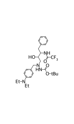 CCN(CC)c1ccc(CN(CC(O)C(Cc2ccccc2)NC(=O)C(F)(F)F)NC(=O)OC(C)(C)C)cc1